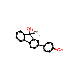 Oc1ccc(-c2ccc3c(c2)C(O)(C(F)(F)F)c2ccccc2-3)cc1